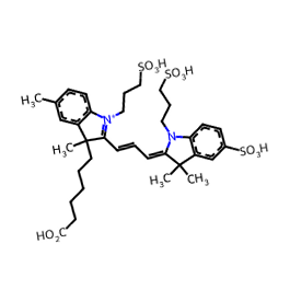 Cc1ccc2c(c1)C(C)(CCCCCC(=O)O)C(/C=C/C=C1\N(CCCS(=O)(=O)O)c3ccc(S(=O)(=O)O)cc3C1(C)C)=[N+]2CCCS(=O)(=O)O